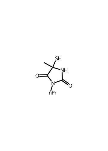 CCCN1C(=O)NC(C)(S)C1=O